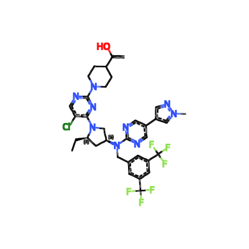 C=C(O)C1CCN(c2ncc(Cl)c(N3C[C@@H](N(Cc4cc(C(F)(F)F)cc(C(F)(F)F)c4)c4ncc(-c5cnn(C)c5)cn4)C[C@H]3CC)n2)CC1